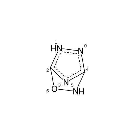 n1[nH]c2nc1NO2